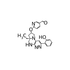 CC[C@]12CNc3nnc(-c4ccccc4O)cc3N1C[C@H](Oc1ccc(C=O)cn1)C2